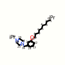 CC(C)CCCCCCCCCOc1cccc(CN2CCN(C(C)C)CC2)c1